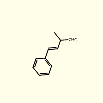 CC([C]=O)/C=C/c1ccccc1